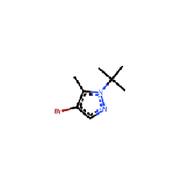 Cc1c(Br)cnn1C(C)(C)C